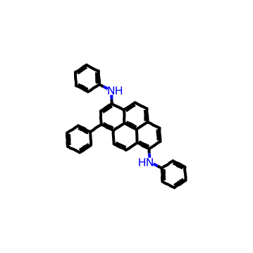 c1ccc(Nc2ccc3ccc4c(Nc5ccccc5)cc(-c5ccccc5)c5ccc2c3c45)cc1